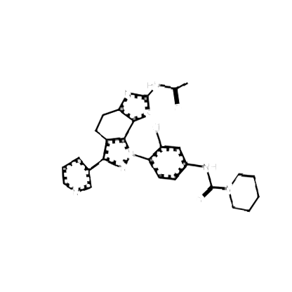 CC(=O)Nc1nc2c(s1)-c1c(c(-c3cccnc3)nn1-c1ccc(NC(=O)N3CCCCC3)cc1Cl)CC2